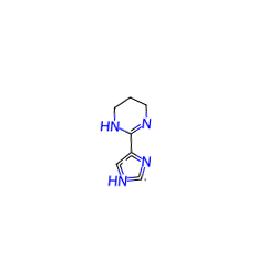 [c]1nc(C2=NCCCN2)c[nH]1